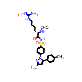 Cc1ccc(-c2cc(C(F)(F)F)nn2-c2ccc(S(=O)(=O)NC(=O)[C@H](CCCCN/C(N)=N\O)NC=O)cc2)cc1